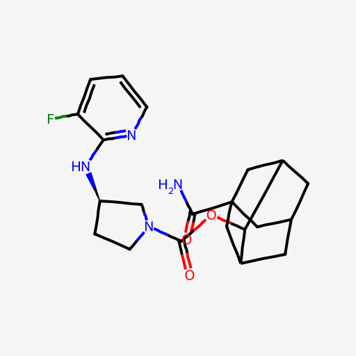 NC(=O)C12CC3CC(C1)C(OC(=O)N1CC[C@@H](Nc4ncccc4F)C1)C(C3)C2